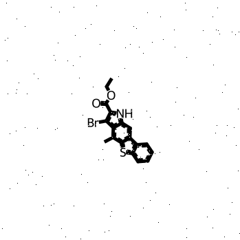 CCOC(=O)c1[nH]c2cc3c(sc4ccccc43)c(C)c2c1Br